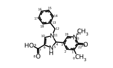 Cc1cc(C2NC(C(=O)O)=CN2Cc2ccccc2)cn(C)c1=O